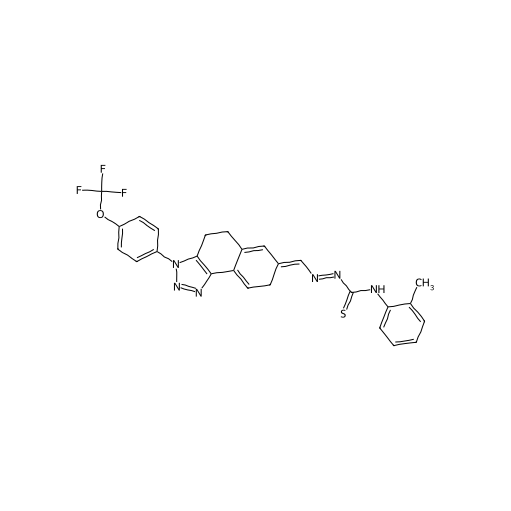 Cc1ccccc1NC(=S)N=NC=C1C=C2CCc3c(nnn3-c3ccc(OC(F)(F)F)cc3)C2=CC1